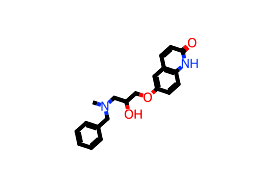 CN(Cc1ccccc1)CC(O)COc1ccc2[nH]c(=O)ccc2c1